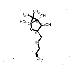 C=CCNC[C@H]1O[C@@]2(O)C(C)(C)[C@@]2(O)[C@H]1O